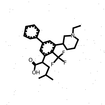 CCN1CCCC(c2cc(-c3ccccc3)cc(C(CC(C)C)C(=O)O)c2C(F)(F)F)C1